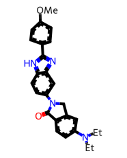 CCN(CC)c1ccc2c(c1)CN(c1ccc3[nH]c(-c4ccc(OC)cc4)nc3c1)C2=O